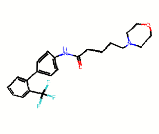 O=C(CCCCN1CCOCC1)Nc1ccc(-c2ccccc2C(F)(F)F)cc1